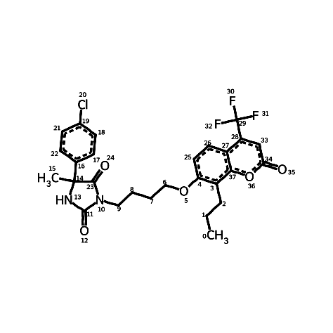 CCCc1c(OCCCCN2C(=O)NC(C)(c3ccc(Cl)cc3)C2=O)ccc2c(C(F)(F)F)cc(=O)oc12